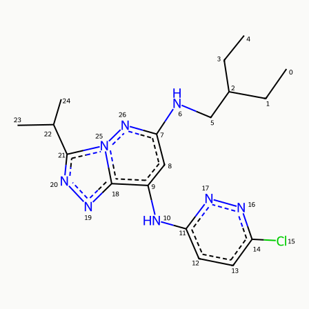 CCC(CC)CNc1cc(Nc2ccc(Cl)nn2)c2nnc(C(C)C)n2n1